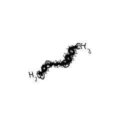 C=CC(=O)c1ccc(OCCCCCCOc2ccc(C3CCC(CCC)CC3)cc2)cc1